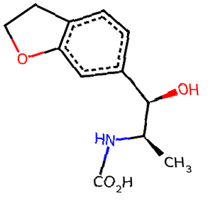 C[C@@H](NC(=O)O)[C@H](O)c1ccc2c(c1)OCC2